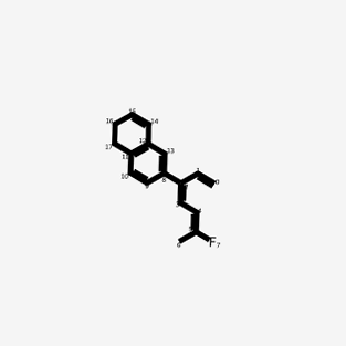 C=C/C(=C\C=C(/C)F)c1ccc2c(c1)C=CCC2